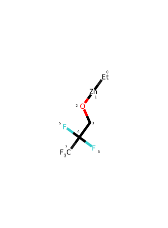 [CH2][CH2][Zn][O]CC(F)(F)C(F)(F)F